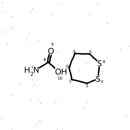 C1CCSSCC1.NC(=O)O